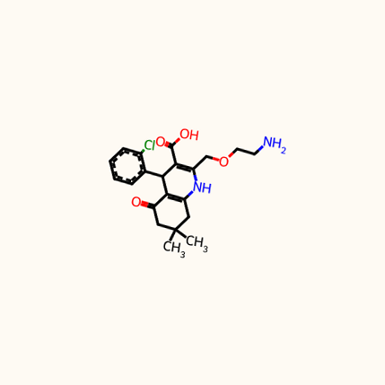 CC1(C)CC(=O)C2=C(C1)NC(COCCN)=C(C(=O)O)C2c1ccccc1Cl